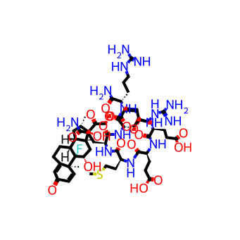 CSCC[C@H](NC(=O)[C@H](CCC(=O)O)NC(=O)[C@H](CCC(=O)O)NC(=O)/C=C\C(=O)OCC(=O)[C@@]1(O)[C@@H](C)C[C@H]2[C@@H]3CCC4=CC(=O)C=C[C@]4(C)[C@@]3(F)[C@@H](O)C[C@@]21C)C(=O)N[C@@H](CCC(N)=O)C(=O)N[C@@H](CCCNC(=N)N)C(=O)N[C@@H](CCCNC(=N)N)C(N)=O